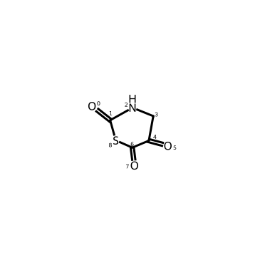 O=C1NCC(=O)C(=O)S1